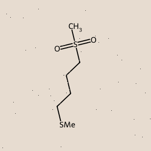 CSCC[CH]CS(C)(=O)=O